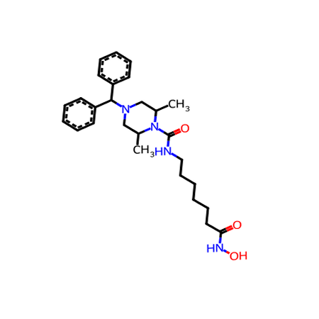 CC1CN(C(c2ccccc2)c2ccccc2)CC(C)N1C(=O)NCCCCCCC(=O)NO